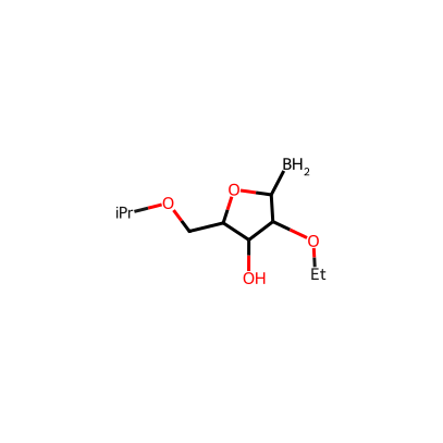 BC1OC(COC(C)C)C(O)C1OCC